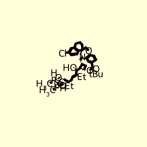 CC/C(=C\C[C@H](CC)CS(=O)(=O)N(PC)PC)[C@H](O)[C@@H]1CC[C@H]1CN1C[C@@]2(CCCc3cc(Cl)ccc32)COc2ccc(C(=O)OC(C)(C)C)cc21